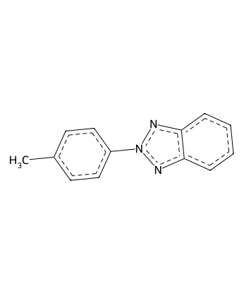 Cc1ccc(-n2nc3ccccc3n2)cc1